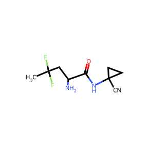 CC(F)(F)CC(N)C(=O)NC1(C#N)CC1